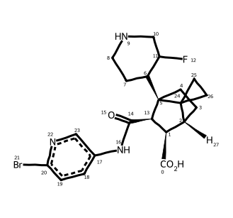 O=C(O)[C@@H]1[C@H]2CC[C@@](C3CCNCC3F)([C@@H]1C(=O)Nc1ccc(Br)nc1)C21CC1